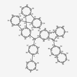 c1ccc(-c2ccc(N(c3ccc4c(c3)C3(c5ccccc5-c5ccccc53)c3ccccc3-4)c3ccc4c5ccccc5n(-c5ccc6ccccc6c5)c4c3)cc2)cc1